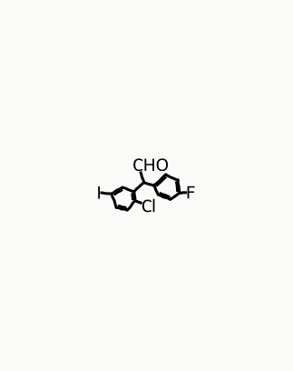 O=CC(c1ccc(F)cc1)c1cc(I)ccc1Cl